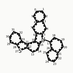 c1ccc2cc3c(cc2c1)c1c2c(ccc1n3-c1cccc3ccccc13)sc1ccccc12